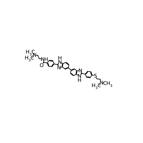 CN(C)CCNC(=O)c1ccc(-c2nc3cc(-c4ccc5[nH]c(-c6ccc(SCCN(C)C)cc6)nc5c4)ccc3[nH]2)cc1